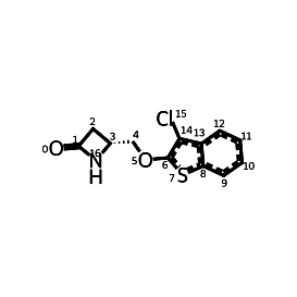 O=C1C[C@H](COc2sc3ccccc3c2Cl)N1